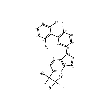 [2H]C([2H])([2H])C(C)(O)c1ccc2c(c1)ncn2-c1ccc(F)c(-c2c(F)cccc2[N+]#[C-])c1